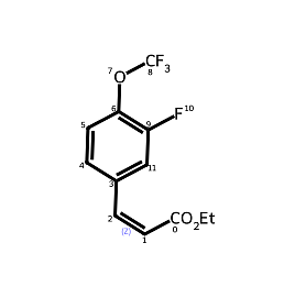 CCOC(=O)/C=C\c1ccc(OC(F)(F)F)c(F)c1